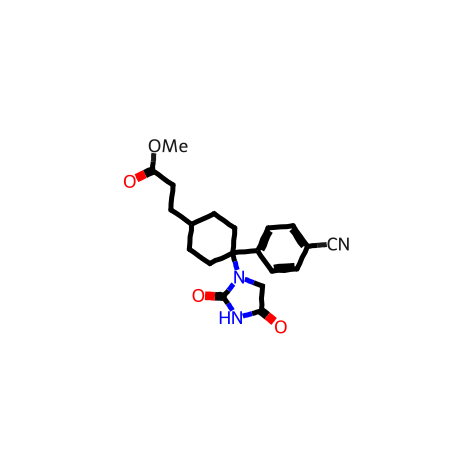 COC(=O)CCC1CCC(c2ccc(C#N)cc2)(N2CC(=O)NC2=O)CC1